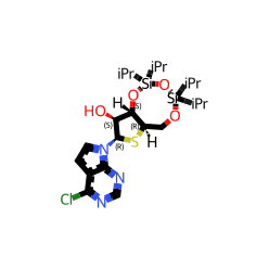 CC(C)[Si]1(C(C)C)OC[C@H]2S[C@@H](n3ccc4c(Cl)ncnc43)[C@@H](O)[C@@H]2O[Si](C(C)C)(C(C)C)O1